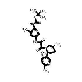 Cc1ccc([C@]2(C)CC[C@H](C)CN2C(=O)C(=O)Nc2cnc(NC(=O)OC(C)(C)C)c(C)c2)cn1